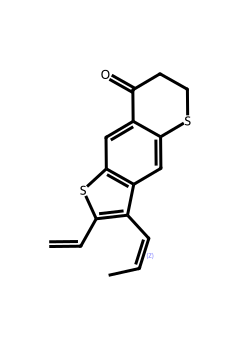 C=Cc1sc2cc3c(cc2c1/C=C\C)SCCC3=O